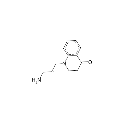 NC[CH]CN1CCC(=O)c2ccccc21